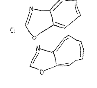 [C].c1ccc2ocnc2c1.c1ccc2ocnc2c1